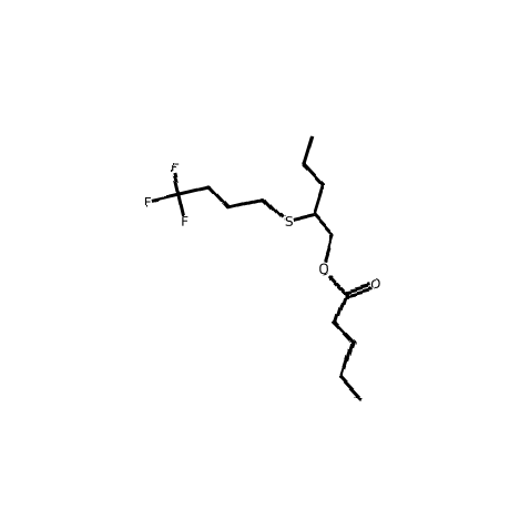 CCCCC(=O)OCC(CCC)SCCCC(F)(F)F